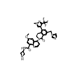 COc1cc(C(=O)NC2CNC2)c2nccc(N3CCc4c(cc(Cn5ccnc5)cc4-c4cn(C)nc4C(F)(F)F)C3=O)c2c1